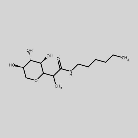 CCCCCCNC(=O)C(C)C1OC[C@@H](O)[C@H](O)[C@H]1O